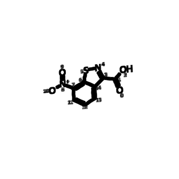 O=C(O)c1nsc2c([N+](=O)[O-])cccc12